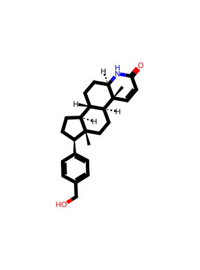 C[C@]12C=CC(=O)N[C@@H]1CC[C@@H]1[C@@H]2CC[C@]2(C)[C@@H](c3ccc(CO)cc3)CC[C@@H]12